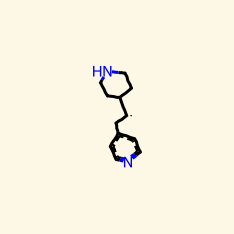 [CH](Cc1ccncc1)C1CCNCC1